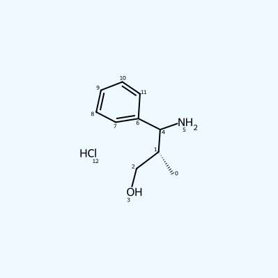 C[C@H](CO)C(N)c1ccccc1.Cl